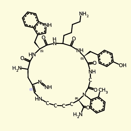 Cc1ccccc1N1C(=O)CNC(=O)[C@H](Cc2ccc(O)cc2)NC(=O)C(CCCCN)NC(=O)[C@H](Cc2c[nH]c3ccccc23)NC(=O)C(N)C/C(N=N)=C/NCCCC[C@@H]1C(N)=O